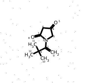 C=C(N1CC(=O)CC1=O)C(C)(C)C